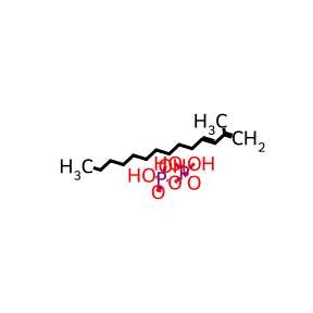 C=C(C)C=CCCCCCCCCCC.O=P(O)(O)OP(=O)(O)O